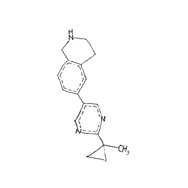 CC1(c2ncc(-c3ccc4c(c3)CCNC4)cn2)CC1